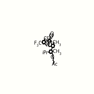 CC(=O)CCCOCc1cc(C(C)C)cc(-c2ccc(C)cc2CN(Cc2cc(C(F)(F)F)cc(C(F)(F)F)c2)c2ncc(N3CCOCC3)cn2)c1C